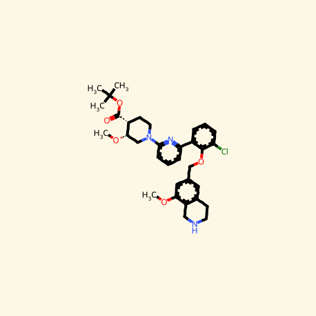 COc1cc(COc2c(Cl)cccc2-c2cccc(N3CC[C@@H](C(=O)OC(C)(C)C)[C@@H](OC)C3)n2)cc2c1CNCC2